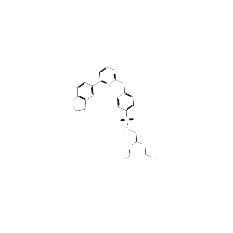 CCOC(CNS(=O)(=O)c1ccc(Nc2nccc(-c3ccc4c(c3)CCO4)n2)cc1)OCC